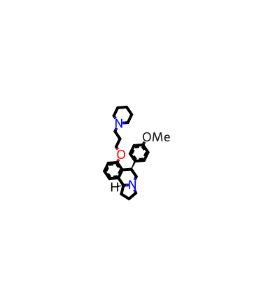 COc1ccc([C@H]2CN3CCC[C@H]3c3cccc(OCCCN4CCCCC4)c32)cc1